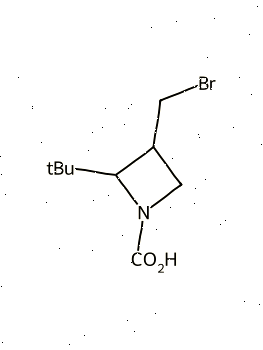 CC(C)(C)C1C(CBr)CN1C(=O)O